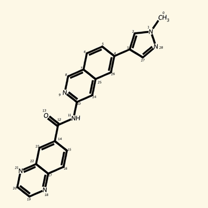 Cn1cc(-c2ccc3cnc(NC(=O)c4ccc5nccnc5c4)cc3c2)cn1